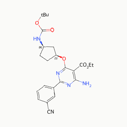 CCOC(=O)c1c(N)nc(-c2cccc(C#N)c2)nc1O[C@H]1CC[C@@H](NC(=O)OC(C)(C)C)C1